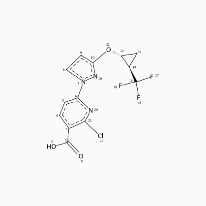 O=C(O)c1ccc(-n2ccc(O[C@@H]3C[C@H]3C(F)(F)F)n2)nc1Cl